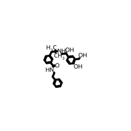 CC(C)(Cc1cccc(C(=O)NCCc2ccccc2)c1)NC[C@H](O)c1ccc(O)c(CO)c1